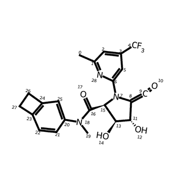 Cc1cc(C(F)(F)F)cc(N2C(=C=O)[C@H](O)[C@@H](O)[C@H]2C(=O)N(C)c2ccc3c(c2)CC3)n1